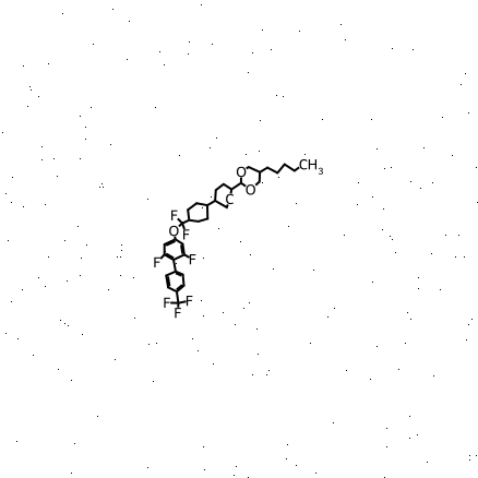 CCCCCC1COC(C2CCC(C3CCC(C(F)(F)Oc4cc(F)c(-c5ccc(C(F)(F)F)cc5)c(F)c4)CC3)CC2)OC1